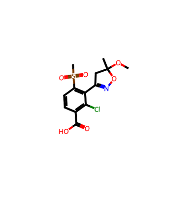 COC1(C)CC(c2c(S(C)(=O)=O)ccc(C(=O)O)c2Cl)=NO1